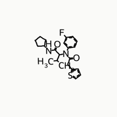 CC(C)C(C(=O)NC1CCCC1)N(C(=O)Cc1cccs1)c1cccc(F)c1